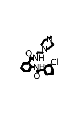 CN1CCN(CCNC(=O)c2ccccc2NC(=O)c2cccc(Cl)c2)CC1